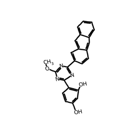 COc1nc(-c2ccc3cc4ccccc4cc3c2)nc(-c2ccc(O)cc2O)n1